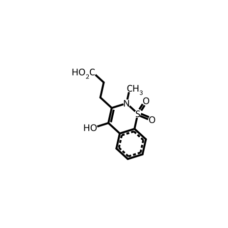 CN1C(CCC(=O)O)=C(O)c2ccccc2S1(=O)=O